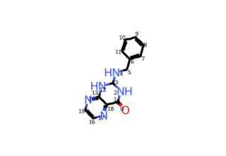 O=C1NC(NCc2ccccc2)Nc2nccnc21